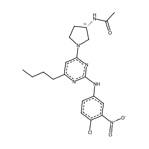 CCCCc1cc(N2CC[C@H](NC(C)=O)C2)nc(Nc2ccc(Cl)c([N+](=O)[O-])c2)n1